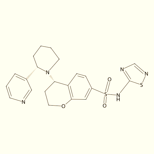 O=S(=O)(Nc1ncns1)c1ccc2c(c1)OCC[C@@H]2N1CCCC[C@H]1c1cccnc1